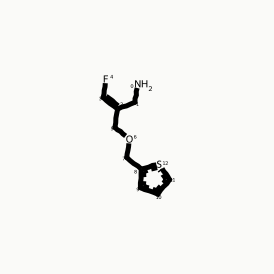 NC/C(=C\F)COCc1cccs1